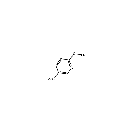 COc1ccc(OC#N)nc1